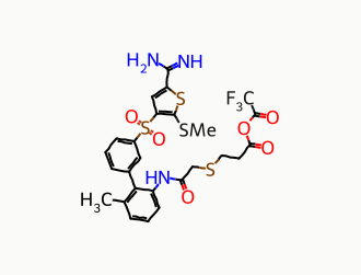 CSc1sc(C(=N)N)cc1S(=O)(=O)c1cccc(-c2c(C)cccc2NC(=O)CSCCC(=O)OC(=O)C(F)(F)F)c1